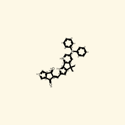 CC1(C)c2cc(N(c3ccccc3)c3ccccc3)cnc2-c2sc(C=C3C(=O)c4cscc4C3=O)cc21